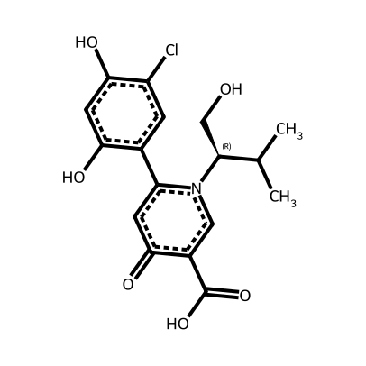 CC(C)[C@H](CO)n1cc(C(=O)O)c(=O)cc1-c1cc(Cl)c(O)cc1O